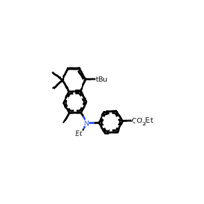 CCOC(=O)c1ccc(N(CC)c2cc3c(cc2C)C(C)(C)CC=C3C(C)(C)C)cc1